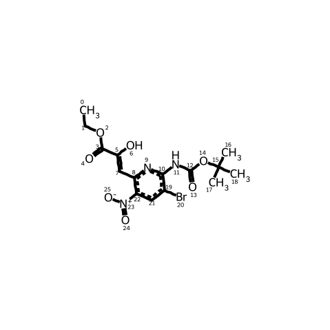 CCOC(=O)C(O)=Cc1nc(NC(=O)OC(C)(C)C)c(Br)cc1[N+](=O)[O-]